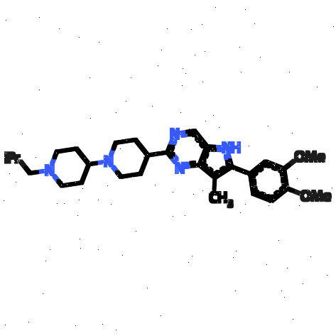 COc1ccc(-c2[nH]c3cnc(C4CCN(C5CCN(CC(C)C)CC5)CC4)nc3c2C)cc1OC